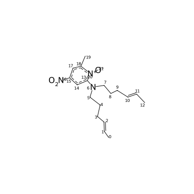 CC=CCCCN(CCCC=CC)c1cc([N+](=O)[O-])cc(C)[n+]1[O-]